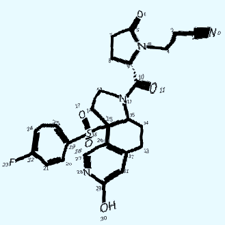 N#CCCN1C(=O)CC[C@H]1C(=O)N1CCC2(S(=O)(=O)c3ccc(F)cc3)c3cnc(O)cc3CCC12